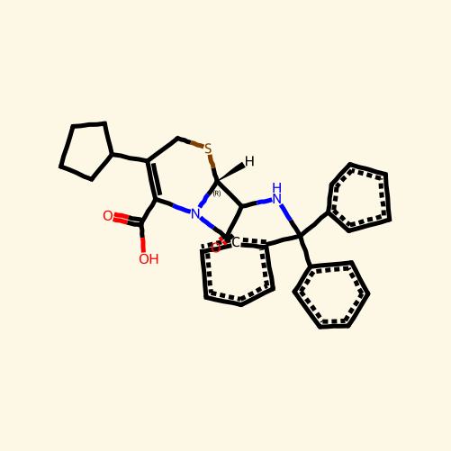 O=C(O)C1=C(C2CCCC2)CS[C@@H]2C(NC(c3ccccc3)(c3ccccc3)c3ccccc3)C(=O)N12